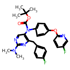 CN(C)c1ncc(N(C(=O)OC(C)(C)C)c2ccc(Oc3ccc(F)cn3)cc2)c(Cc2ccc(F)cc2)n1